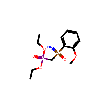 CCOP(=O)(CS(=N)(=O)c1ccccc1OC)OCC